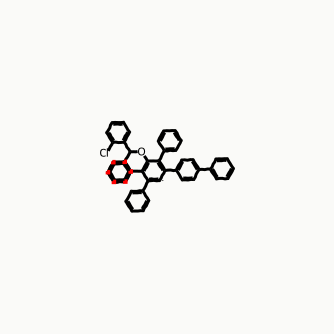 Clc1ccccc1C(Oc1c(-c2ccccc2)c(-c2ccccc2)[c]c(-c2ccc(-c3ccccc3)cc2)c1-c1ccccc1)c1ccccc1